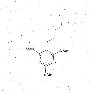 C=CCCCc1c(NC)cc(NC)cc1NC